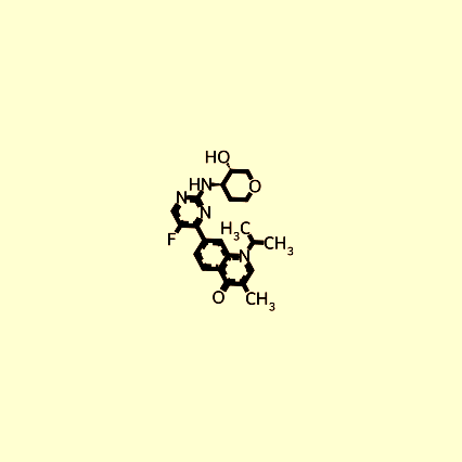 Cc1cn(C(C)C)c2cc(-c3nc(N[C@@H]4CCOC[C@H]4O)ncc3F)ccc2c1=O